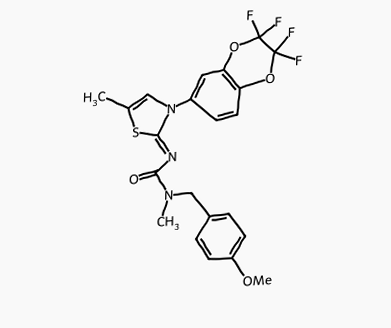 COc1ccc(CN(C)C(=O)N=c2sc(C)cn2-c2ccc3c(c2)OC(F)(F)C(F)(F)O3)cc1